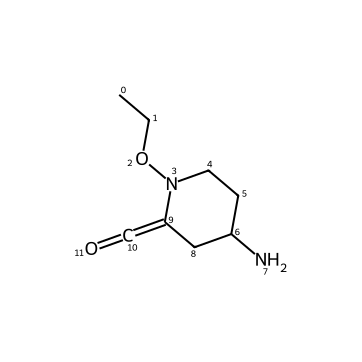 CCON1CCC(N)CC1=C=O